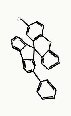 Clc1ccc2c(c1)C1(c3ccccc3S2)c2ccccc2-c2ccc(-c3ccccc3)cc21